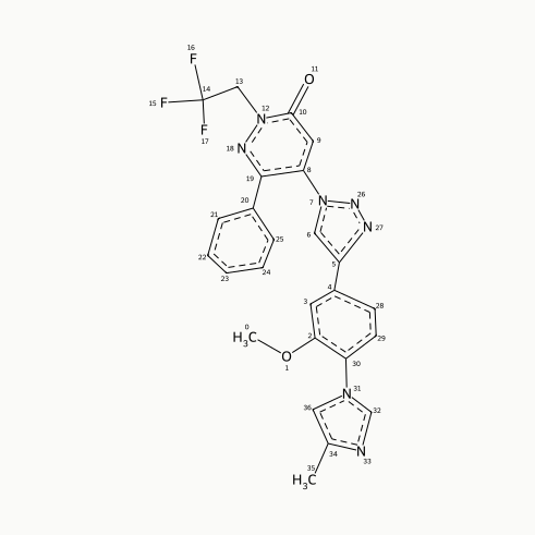 COc1cc(-c2cn(-c3cc(=O)n(CC(F)(F)F)nc3-c3ccccc3)nn2)ccc1-n1cnc(C)c1